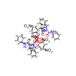 O=C(Nc1ccccc1)C1=C([O-])C2(c3cc([N+](=O)[O-])cc([N+](=O)[O-])c3[O][Cr](=[O])(=[O])[O]c3c([N+](=O)[O-])cc([N+](=O)[O-])cc3C34N=NC(C(C(=O)Nc5ccccc5)=C3O)c3ccccc34)N=NC1c1ccccc12